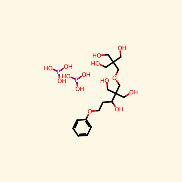 OCC(CO)(CO)COCC(CO)(CO)C(O)CCOc1ccccc1.OP(O)O.OP(O)O